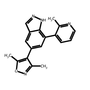 Cc1ncccc1-c1cc(-c2c(C)noc2C)cc2cn[nH]c12